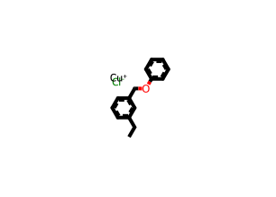 CCc1cccc(COc2ccccc2)c1.[Cl-].[Cu+]